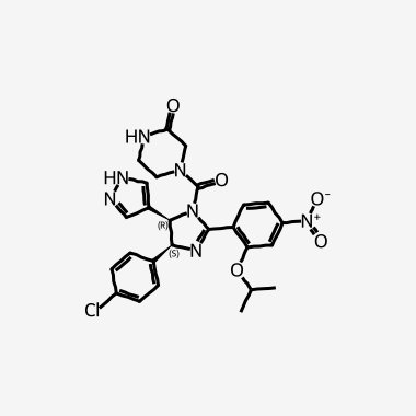 CC(C)Oc1cc([N+](=O)[O-])ccc1C1=N[C@@H](c2ccc(Cl)cc2)[C@@H](c2cn[nH]c2)N1C(=O)N1CCNC(=O)C1